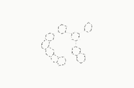 c1ccc(-c2nc(-c3cccc(-c4ccc5ccc6cc7oc8ccccc8c7cc6c5c4)c3)nc(-c3ccc4ccccc4c3)n2)cc1